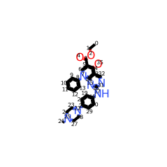 CCOC(=O)c1cn(-c2ccccc2)c2nc(Nc3ccc(N4CCN(C)CC4)cc3)ncc2c1=O